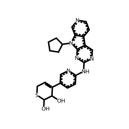 OC1SCC=C(c2ccc(Nc3ncc4c5ccncc5n(C5CCCC5)c4n3)nc2)C1O